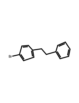 Brc1ccc(CCc2ccccc2)cc1